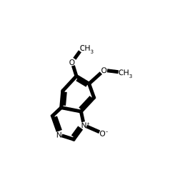 COc1cc2cnc[n+]([O-])c2cc1OC